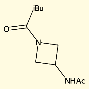 CCC(C)C(=O)N1CC(NC(C)=O)C1